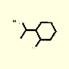 CC(C(=O)O)C1CCCCC1Cl